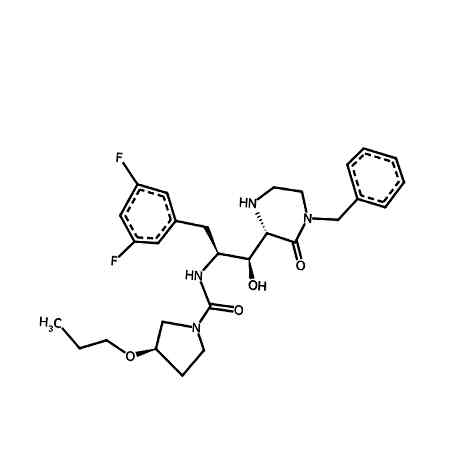 CCCO[C@@H]1CCN(C(=O)N[C@@H](Cc2cc(F)cc(F)c2)[C@H](O)[C@@H]2NCCN(Cc3ccccc3)C2=O)C1